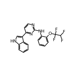 FC(F)C(F)(F)Oc1ccccc1Nc1nccc(-c2c[nH]c3ccccc23)n1